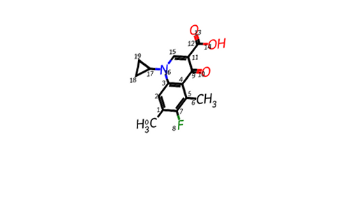 Cc1cc2c(c(C)c1F)c(=O)c(C(=O)O)cn2C1CC1